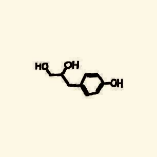 OCC(O)Cc1ccc(O)cc1